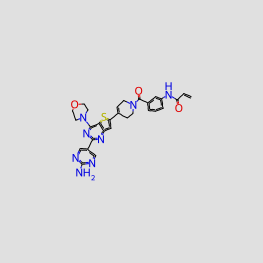 C=CC(=O)Nc1cccc(C(=O)N2CC=C(c3cc4nc(-c5cnc(N)nc5)nc(N5CCOCC5)c4s3)CC2)c1